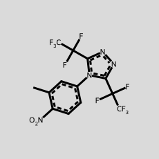 Cc1cc(-n2c(C(F)(F)C(F)(F)F)nnc2C(F)(F)C(F)(F)F)ccc1[N+](=O)[O-]